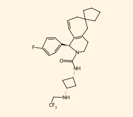 O=C(N[C@H]1C[C@@H](NCC(F)(F)F)C1)N1CCC2=C(C=CCC3(CCCC3)C2)[C@@H]1c1ccc(F)cc1